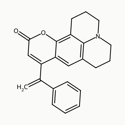 C=C(c1ccccc1)c1cc(=O)oc2c3c4c(cc12)CCCN4CCC3